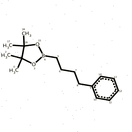 CC1(C)OB(CCCCc2ccccc2)OC1(C)C